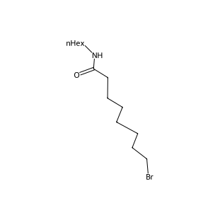 CCCCCCNC(=O)CCCCCCCBr